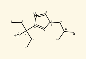 CCC(O)(CC)c1cn(CC(C)C)cn1